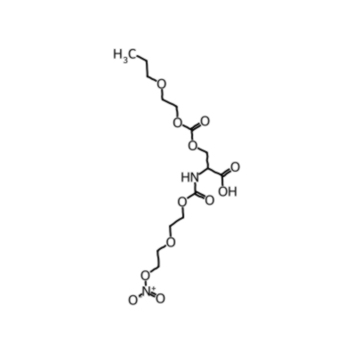 CCCOCCOC(=O)OCC(NC(=O)OCCOCCO[N+](=O)[O-])C(=O)O